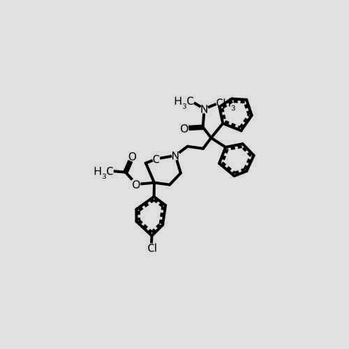 CC(=O)OC1(c2ccc(Cl)cc2)CCN(CCC(C(=O)N(C)C)(c2ccccc2)c2ccccc2)CC1